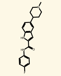 CN1CCC(c2ccc3[nH]c(C(=O)Nc4ccc(F)cc4)cc3c2)CC1